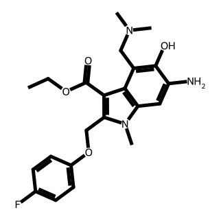 CCOC(=O)c1c(COc2ccc(F)cc2)n(C)c2cc(N)c(O)c(CN(C)C)c12